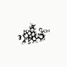 C=C(C)[C@@H]1C[C@@H]2OC3=C(C(=O)CC4(CC4)C3)[C@H](c3c(OC)ccc(-c4cccc(C(=O)O)n4)c3C)[C@H]2C(=O)N1CC